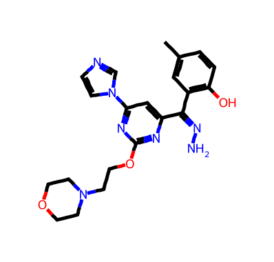 Cc1ccc(O)c(C(=NN)c2cc(-n3ccnc3)nc(OCCN3CCOCC3)n2)c1